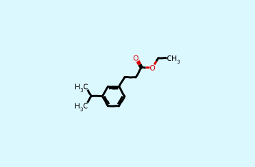 CCOC(=O)CCc1cccc(C(C)C)c1